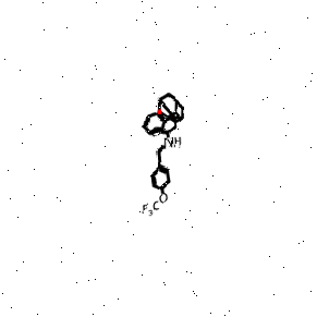 CC1C2CC3CC1CC(C2)C3(CC(=O)NCc1ccc(OC(F)(F)F)cc1)c1ccccc1